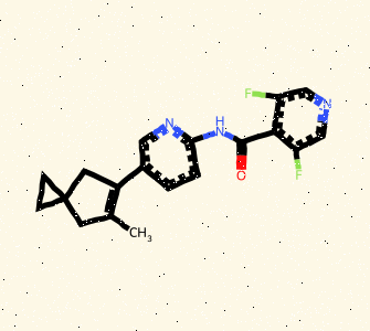 CC1=C(c2ccc(NC(=O)c3c(F)cncc3F)nc2)CC2(CC2)C1